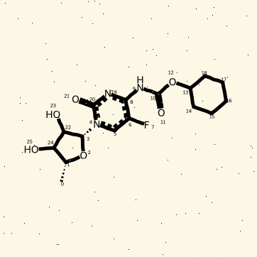 C[C@H]1O[C@@H](n2cc(F)c(NC(=O)OC3CCCCC3)nc2=O)C(O)C1O